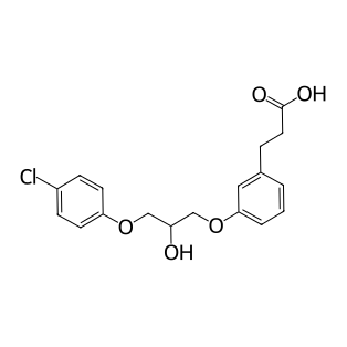 O=C(O)CCc1cccc(OCC(O)COc2ccc(Cl)cc2)c1